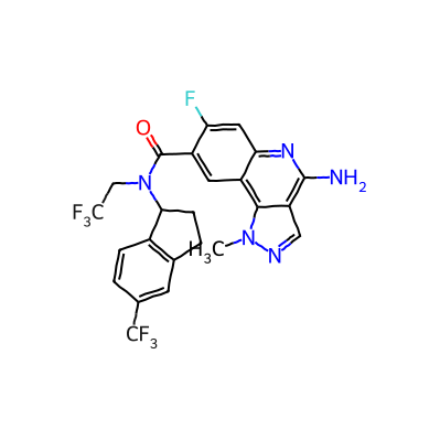 Cn1ncc2c(N)nc3cc(F)c(C(=O)N(CC(F)(F)F)C4CCc5cc(C(F)(F)F)ccc54)cc3c21